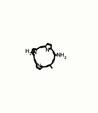 Cc1ccc(N)cc2nc(cc3ccc(cc4nc(c1)C=C4)n3N)C=C2